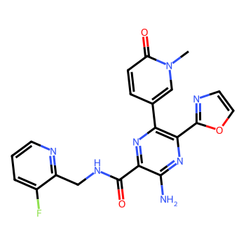 Cn1cc(-c2nc(C(=O)NCc3ncccc3F)c(N)nc2-c2ncco2)ccc1=O